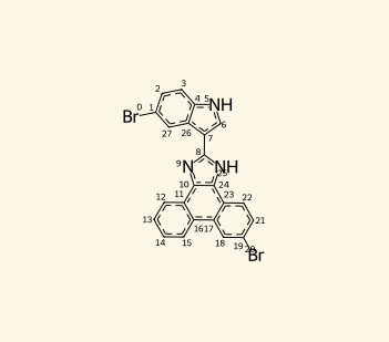 Brc1ccc2[nH]cc(-c3nc4c5ccccc5c5cc(Br)ccc5c4[nH]3)c2c1